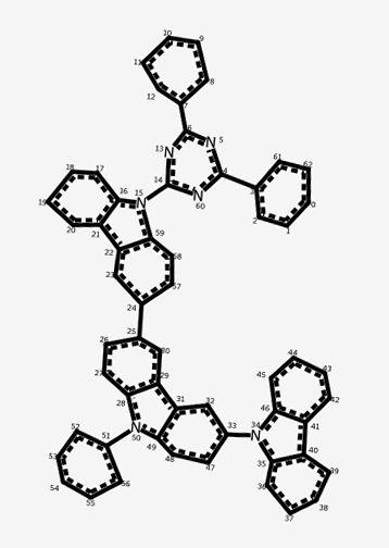 c1ccc(-c2nc(-c3ccccc3)nc(-n3c4ccccc4c4cc(-c5ccc6c(c5)c5cc(-n7c8ccccc8c8ccccc87)ccc5n6-c5ccccc5)ccc43)n2)cc1